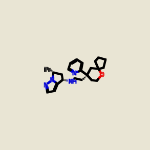 CC(C)[C@@H]1C[C@H](NCC[C@@]2(c3ccccn3)CCOC3(CCCC3)C2)c2ccnn21